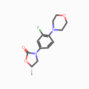 C[C@H]1CN(c2ccc(N3CCOCC3)c(F)c2)C(=O)O1